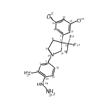 Cc1cc(N2CCC(c3cc(Cl)cc(Cl)c3)(C(F)(F)F)C2)ccc1NN